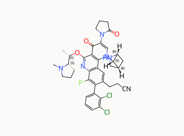 C[C@H](Oc1nc2c(F)c(-c3cccc(Cl)c3Cl)c(CCC#N)cc2c2c1c(=O)c(N1CCCC1=O)cn2[C@H]1[C@H]2CN[C@@H]1C2)[C@@H]1CCCN1C